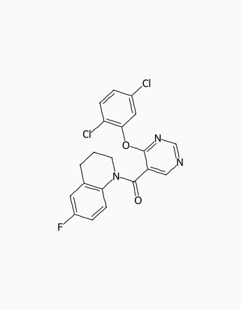 O=C(c1cncnc1Oc1cc(Cl)ccc1Cl)N1CCCc2cc(F)ccc21